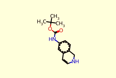 CC(C)(C)OC(=O)Nc1ccc2c(c1)C=CNC2